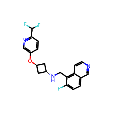 Fc1ccc2cnccc2c1CN[C@H]1C[C@H](Oc2ccc(C(F)F)nc2)C1